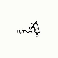 CC(=O)[C@H](CCCCN)NC(=O)[C@@H](C)C(C)C